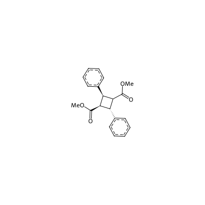 COC(=O)C1[C@H](c2ccccc2)[C@@H](C(=O)OC)[C@H]1c1ccccc1